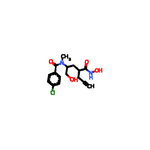 C#CCC(CC(CO)N(C)C(=O)c1ccc(Cl)cc1)C(=O)NO